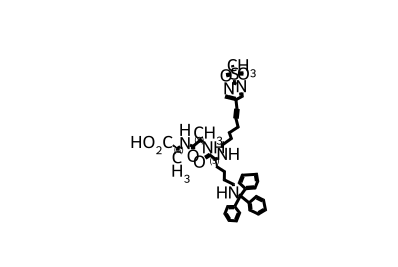 C[C@H](NC(=O)[C@H](C)NC(=O)[C@H](CCCCNC(c1ccccc1)(c1ccccc1)c1ccccc1)NCCCCC#Cc1cnc(S(C)(=O)=O)nc1)C(=O)O